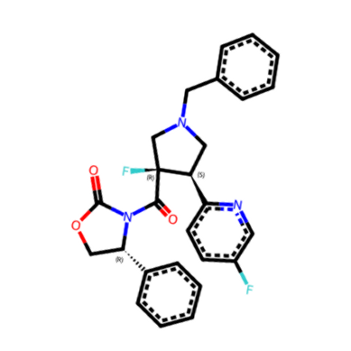 O=C1OC[C@@H](c2ccccc2)N1C(=O)[C@]1(F)CN(Cc2ccccc2)C[C@H]1c1ccc(F)cn1